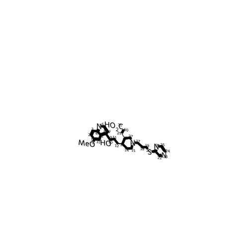 COc1ccc2nccc([C@H](O)CC[C@@H]3CCN(CCCSc4cnccn4)C[C@H]3CCC(=O)O)c2c1